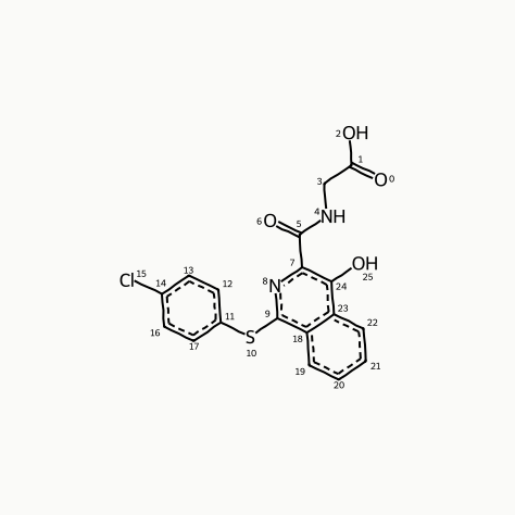 O=C(O)CNC(=O)c1nc(Sc2ccc(Cl)cc2)c2ccccc2c1O